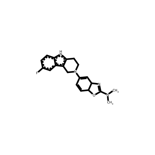 CN(C)C1=NC2C=C(N3CCc4[nH]c5ccc(F)cc5c4C3)C=CC2O1